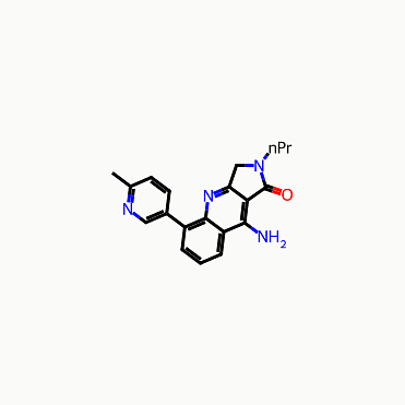 CCCN1Cc2nc3c(-c4ccc(C)nc4)cccc3c(N)c2C1=O